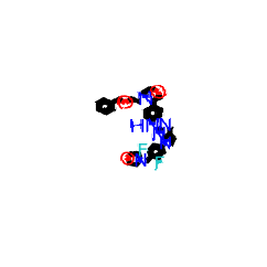 Fc1cc(-n2ccc3cnc(Nc4ccc(C5COCCN5CCOCc5ccccc5)cc4)nc32)cc(F)c1CN1CCOCC1